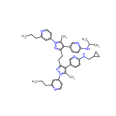 CCCc1cc(-n2nc(CCc3nn(-c4ccnc(CCC)c4)c(C)c3-c3ccc(NC(C)C)nc3)c(-c3ccc(NCC4CC4)nc3)c2C)ccn1